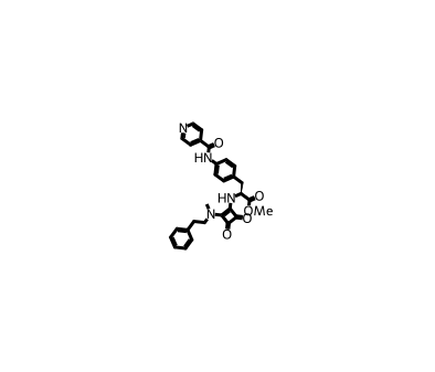 COC(=O)[C@H](Cc1ccc(NC(=O)c2ccncc2)cc1)Nc1c(N(C)CCc2ccccc2)c(=O)c1=O